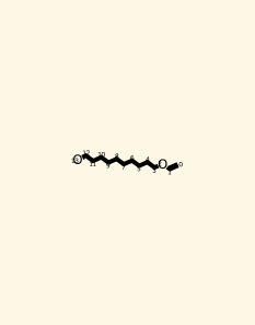 C=COCCCCCCCCCC[O]